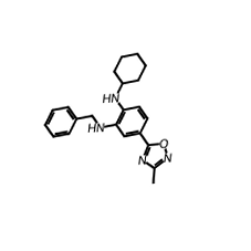 Cc1noc(-c2ccc(NC3CCCCC3)c(NCc3ccccc3)c2)n1